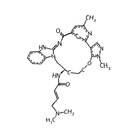 Cc1cc2cc(n1)-c1cnn(C)c1OCCC[C@@H](NC(=O)/C=C/CN(C)C)CN1/C(=N/C2=O)Nc2ccccc21